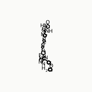 Nc1ncnc2c1c(-c1ccc(Oc3ccccc3)cc1)nn2[C@H]1CCN(C2CN(CC3(F)CN(c4ccc(C(=O)NC5CCC(=O)NC5=O)nc4)C3)C2)C[C@H]1F